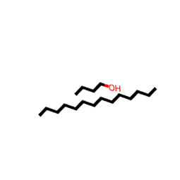 CCCCCCCCCCCCCC.CCCCO